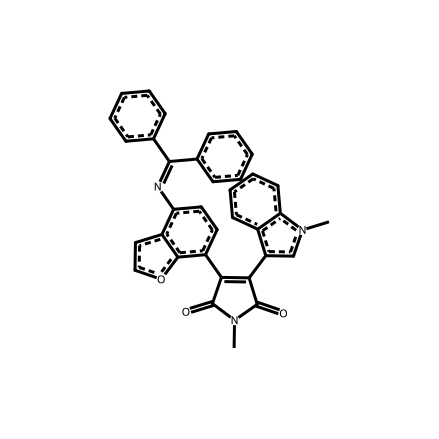 CN1C(=O)C(c2cn(C)c3ccccc23)=C(c2ccc(N=C(c3ccccc3)c3ccccc3)c3ccoc23)C1=O